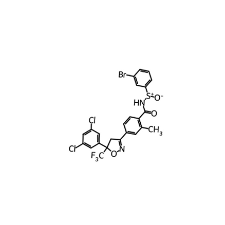 Cc1cc(C2=NOC(c3cc(Cl)cc(Cl)c3)(C(F)(F)F)C2)ccc1C(=O)N[S+]([O-])c1cccc(Br)c1